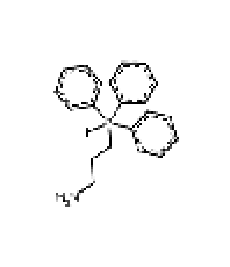 NCCCP(I)(c1ccccc1)(c1ccccc1)c1ccccc1